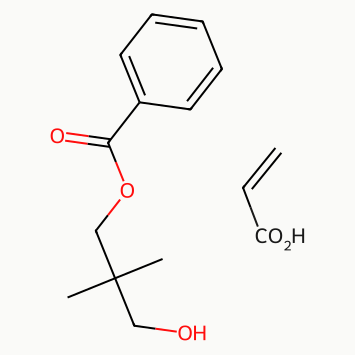 C=CC(=O)O.CC(C)(CO)COC(=O)c1ccccc1